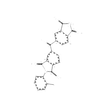 Cc1ccccc1N1C(=O)c2ccc(C(=O)c3ccc4c(c3)C(=O)NC4=O)cc2C1=O